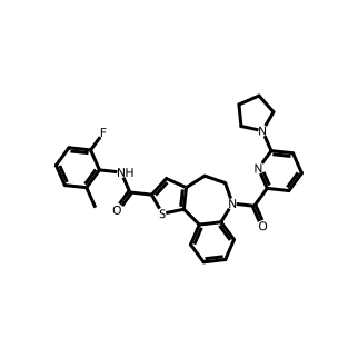 Cc1cccc(F)c1NC(=O)c1cc2c(s1)-c1ccccc1N(C(=O)c1cccc(N3CCCC3)n1)CC2